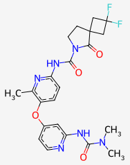 Cc1nc(NC(=O)N2CCC3(CC(F)(F)C3)C2=O)ccc1Oc1ccnc(NC(=O)N(C)C)c1